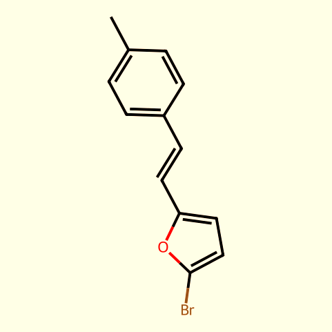 Cc1ccc(/C=C/c2ccc(Br)o2)cc1